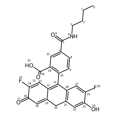 CCCCNC(=O)c1ccc(C2=C3C=C(F)C(=O)C=C3Cc3cc(O)c(F)cc32)c(C(=O)O)c1